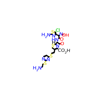 NCCSc1nccc(S/C=C/C2=C(C(=O)O)N3C(=O)[C@@H](NC(=O)/C(=N\O)c4nc(N)sc4Cl)[C@H]3SC2)n1